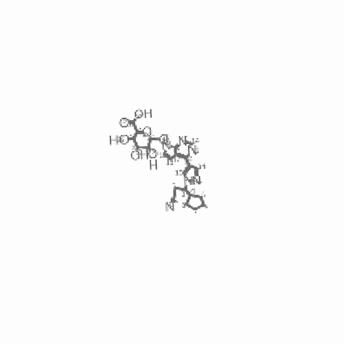 N#CCC(C1CCCC1)n1cc(-c2ncnc3c2ccn3OC2OC(C(=O)O)C(O)C(O)C2O)cn1